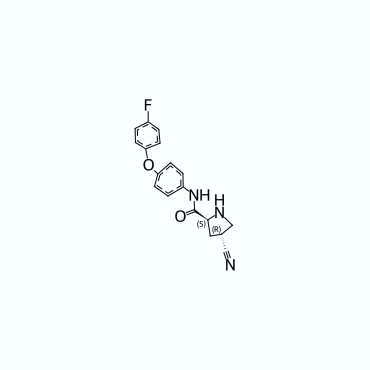 N#C[C@H]1CN[C@H](C(=O)Nc2ccc(Oc3ccc(F)cc3)cc2)C1